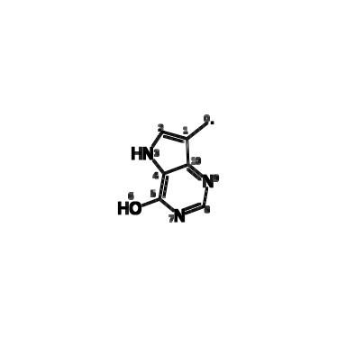 [CH2]c1c[nH]c2c(O)ncnc12